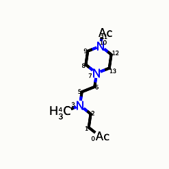 CC(=O)CCN(C)CCN1CCN(C(C)=O)CC1